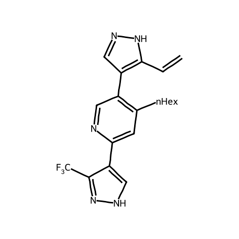 C=Cc1[nH]ncc1-c1cnc(-c2c[nH]nc2C(F)(F)F)cc1CCCCCC